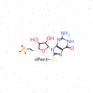 C=P(C)(C)CC[C@H]1O[C@@H](n2c(SCCCCC)nc3c(=O)[nH]c(N)nc32)[C@H](O)[C@@H]1O